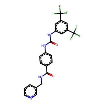 O=C(Nc1ccc(C(=O)NCc2cccnc2)cc1)Nc1cc(C(F)(F)F)cc(C(F)(F)F)c1